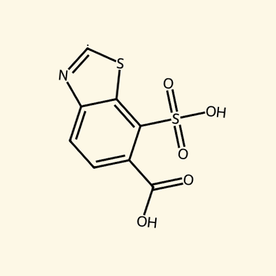 O=C(O)c1ccc2n[c]sc2c1S(=O)(=O)O